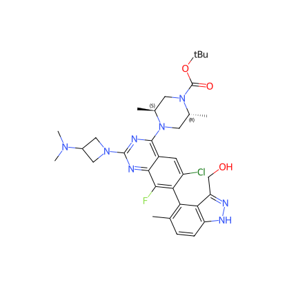 Cc1ccc2[nH]nc(CO)c2c1-c1c(Cl)cc2c(N3C[C@@H](C)N(C(=O)OC(C)(C)C)C[C@@H]3C)nc(N3CC(N(C)C)C3)nc2c1F